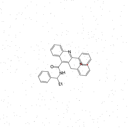 CCC(NC(=O)c1c(Cc2ccccn2)c(-c2ccccc2)nc2ccccc12)c1ccccc1